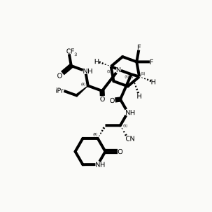 CC(C)C[C@@H](NC(=O)C(F)(F)F)C(=O)N1[C@H]2CC[C@@H]([C@H]1C(=O)N[C@H](C#N)C[C@H]1CCCNC1=O)C(F)(F)C2